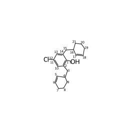 Oc1c(CC2C=CCCC2)cc(Cl)cc1CC1C=CCCC1